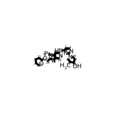 CC1CN(c2nccc(Nc3cc4c(cn3)nc(COC3CCCCO3)n4C(C)C)n2)CCC1O